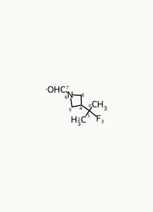 CC(C)(F)C1CN([C]=O)C1